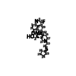 COc1ccc2ncc(F)c(CCCC3(CC(=O)O)CCN(CCSC4CCCC4)CC3)c2c1